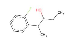 CCC(O)C(C)c1ccccc1F